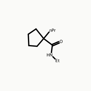 CCCC1(C(=O)NCC)CCCC1